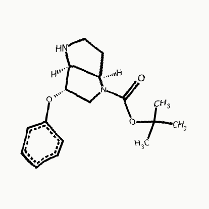 CC(C)(C)OC(=O)N1C[C@H](Oc2ccccc2)[C@H]2NCC[C@H]21